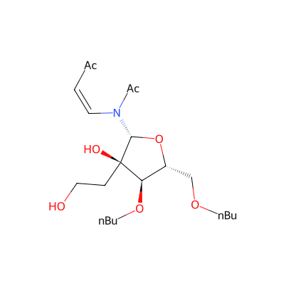 CCCCOC[C@H]1O[C@@H](N(/C=C\C(C)=O)C(C)=O)[C@@](O)(CCO)[C@@H]1OCCCC